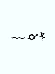 CCCCCCCOc1ccc(C(=O)NC2(/C(N)=N/Cl)CC2)cc1